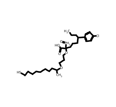 CCCC(CCCC(OCCCOC(C)CCCCCCCCS)([PH2]=O)C(=O)O)c1ccc(Cl)cc1